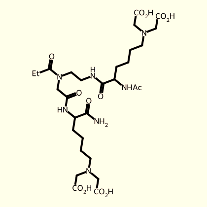 CCC(=O)N(CCNC(=O)C(CCCCN(CC(=O)O)CC(=O)O)NC(C)=O)CC(=O)NC(CCCCN(CC(=O)O)CC(=O)O)C(N)=O